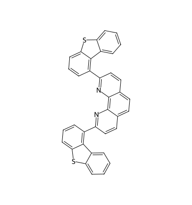 c1ccc2c(c1)sc1cccc(-c3ccc4ccc5ccc(-c6cccc7sc8ccccc8c67)nc5c4n3)c12